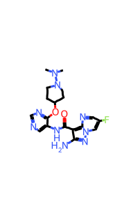 CN(C)N1CCC(Oc2ncncc2NC(=O)c2c(N)nn3cc(F)cnc23)CC1